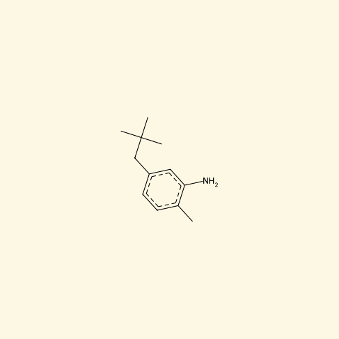 Cc1ccc(CC(C)(C)C)cc1N